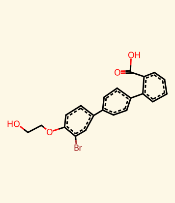 O=C(O)c1ccccc1-c1ccc(-c2ccc(OCCO)c(Br)c2)cc1